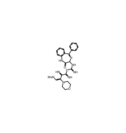 CN/C=C(\C(=N)C(=N)OC(=N)NC1N=C(c2ccccc2)c2ccccc2NC1=O)N1CCOCC1